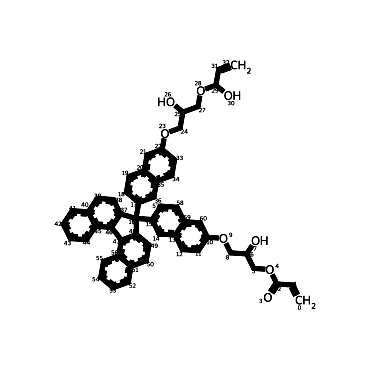 C=CC(=O)OCC(O)COc1ccc2cc(C3(c4ccc5cc(OCC(O)COC(O)C=C)ccc5c4)c4ccc5ccccc5c4-c4c3ccc3ccccc43)ccc2c1